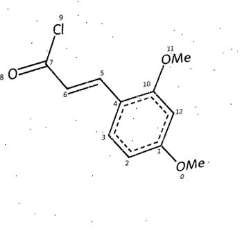 COc1ccc(/C=C/C(=O)Cl)c(OC)c1